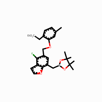 CCOC(=O)Cc1ccc(C)cc1OCc1cc(CB2OC(C)(C)C(C)(C)O2)c2occc2c1F